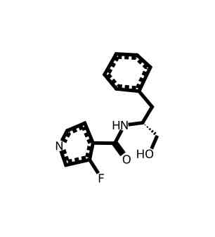 O=C(N[C@@H](CO)Cc1ccccc1)c1ccncc1F